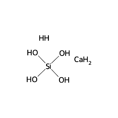 O[Si](O)(O)O.[CaH2].[HH]